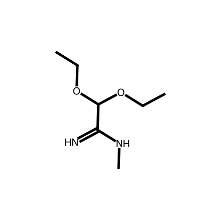 CCOC(OCC)C(=N)NC